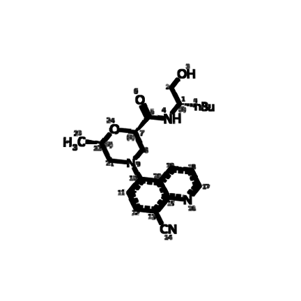 CCCC[C@@H](CO)NC(=O)[C@H]1CN(c2ccc(C#N)c3ncccc23)C[C@@H](C)O1